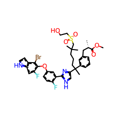 COC(=O)[C@@H](C)Cc1cccc(C(C)(CCCC(C)(C)CS(=O)(=O)CCO)c2c[nH]c(-c3cc(Oc4c(F)cc5[nH]ccc5c4Br)ccc3F)n2)c1